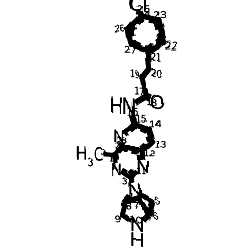 Cc1nc(N2CC3CC2CN3)nc2ccc(NC(=O)CCc3ccc(Cl)cc3)nc12